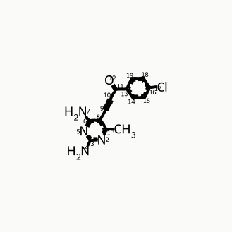 Cc1nc(N)nc(N)c1C#CC(=O)c1ccc(Cl)cc1